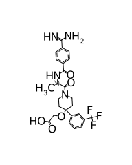 C[C@H](NC(=O)c1ccc(C(=N)N)cc1)C(=O)N1CCC(OCC(=O)O)(c2cccc(C(F)(F)F)c2)CC1